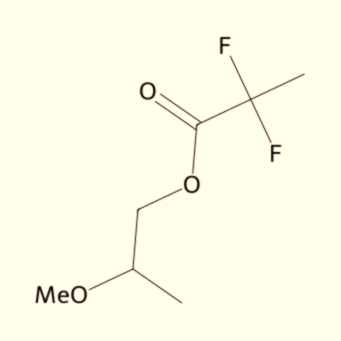 COC(C)COC(=O)C(C)(F)F